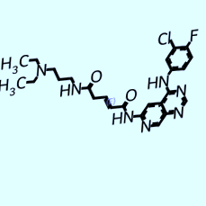 CCN(CC)CCCNC(=O)C/C=C/C(=O)Nc1cc2c(Nc3ccc(F)c(Cl)c3)ncnc2cn1